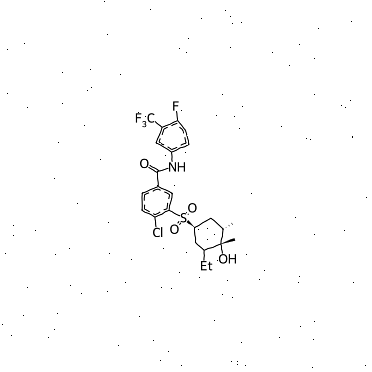 CCC1C[C@@H](S(=O)(=O)c2cc(C(=O)Nc3ccc(F)c(C(F)(F)F)c3)ccc2Cl)C[C@H](C)[C@]1(C)O